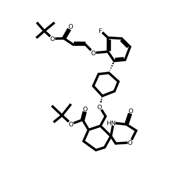 CC(C)(C)OC(=O)/C=C/Oc1c(F)cccc1[C@H]1CC[C@@H](OCC2C(C(=O)OC(C)(C)C)CCCC23COCC(=O)N3)CC1